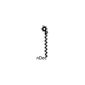 CCCCCCCCCCCCCCCCCCCCCCCCOc1c[c]ccc1